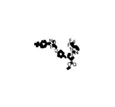 CCOC(=O)[C@H]1CN(c2nccc(C(F)(F)F)n2)C[C@H]1Cc1ccc(OCc2nc(-c3ccc(C(C)(C)C)cc3)no2)cc1